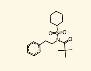 CC(C)(C)C(=O)N(CCc1ccccc1)S(=O)(=O)C1CCCCC1